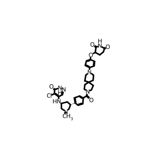 CN1C[C@H](Nc2cn[nH]c(=O)c2Cl)C[C@H](c2ccc(C(=O)N3CCC4(CC3)CCN(c3ccc(OC5CCC(=O)NC5=O)cc3)CC4)cc2)C1